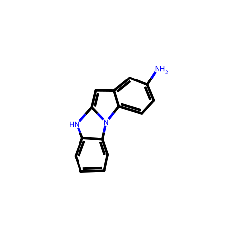 Nc1ccc2c(c1)cc1[nH]c3ccccc3n12